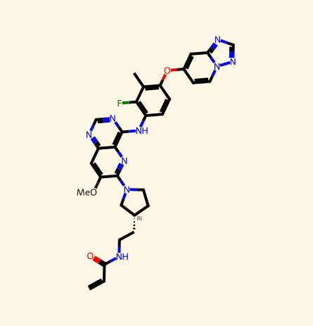 C=CC(=O)NCC[C@H]1CCN(c2nc3c(Nc4ccc(Oc5ccn6ncnc6c5)c(C)c4F)ncnc3cc2OC)C1